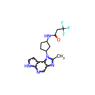 Cc1nc2cnc3[nH]ccc3c2n1C1CCC(NC(=O)CC(F)(F)F)C1